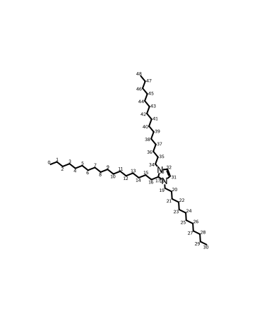 CCCCCCCCCCCCCCCCCC1N(CCCCCCCCCCCC)C=CN1CCCCCCCCCCCCCCC